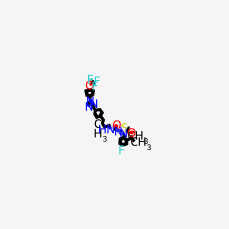 CC(CCNC(=O)/N=C1\SCC(=O)N1c1ccc(F)cc1C(C)C)CC1=CCC(c2ncn(-c3ccc(OC(F)(F)F)cc3)n2)C=C1